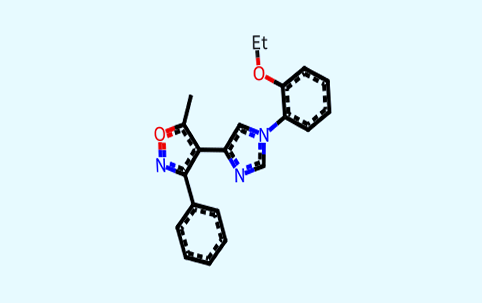 CCOc1ccccc1-n1cnc(-c2c(-c3ccccc3)noc2C)c1